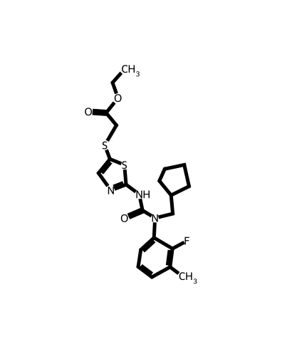 CCOC(=O)CSc1cnc(NC(=O)N(CC2CCCC2)c2cccc(C)c2F)s1